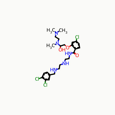 CN(C)CCN(C)C(O)COc1cc(Cl)ccc1C(=O)NCCNCCNCc1ccc(Cl)c(Cl)c1